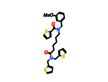 COc1cccc(CN(CCCCCC(=O)N(Cc2cccs2)Cc2cccs2)C(=O)c2cccs2)c1